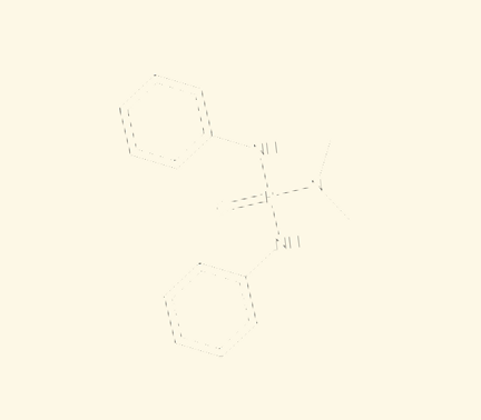 CN(C)P(=O)(Nc1ccccc1)Nc1ccccc1